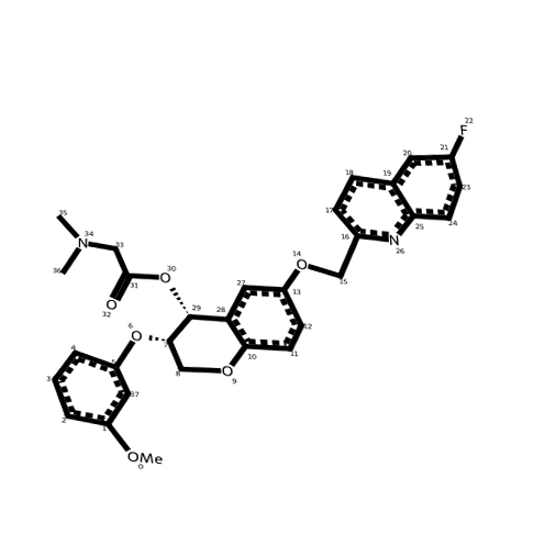 COc1cccc(O[C@H]2COc3ccc(OCc4ccc5cc(F)ccc5n4)cc3[C@H]2OC(=O)CN(C)C)c1